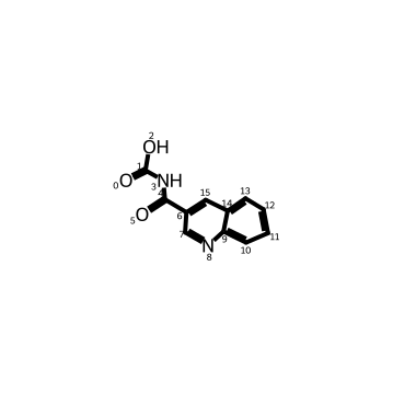 O=C(O)NC(=O)c1cnc2ccccc2c1